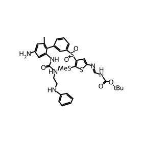 CSc1sc(/N=C/NC(=O)OC(C)(C)C)cc1S(=O)(=O)c1cccc(-c2c(C)cc(N)cc2NC(=O)NCCNc2ccccc2)c1